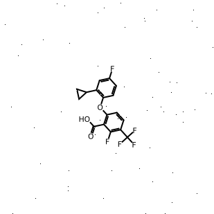 O=C(O)c1c(Oc2ccc(F)cc2C2CC2)ccc(C(F)(F)F)c1F